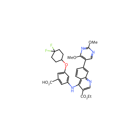 CCOC(=O)c1cnc2cc(-c3cnc(OC)nc3OC)ccc2c1Nc1cc(OC2CCC(F)(F)CC2)cc(C(=O)O)c1